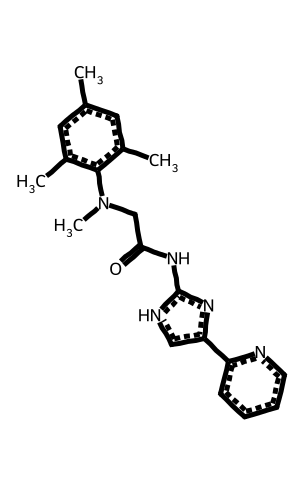 Cc1cc(C)c(N(C)CC(=O)Nc2nc(-c3ccccn3)c[nH]2)c(C)c1